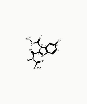 COC(=O)N(C)C(=O)c1nc2ccc(Br)cc2n1C(=O)OC(C)(C)C